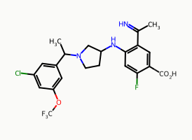 CC(=N)c1cc(C(=O)O)c(F)cc1NC1CCN(C(C)c2cc(Cl)cc(OC(F)(F)F)c2)C1